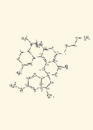 C=C(C)C1CCC(C)=CC1c1c(O)cc(CCCCC)c2c1OC(CC(C)=O)(c1ccc(OC)cc1)OC2=O